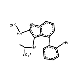 CCCc1ccccc1-c1cccc2[nH]c(NC=O)c(N[C@@H](C)C(=O)O)c12